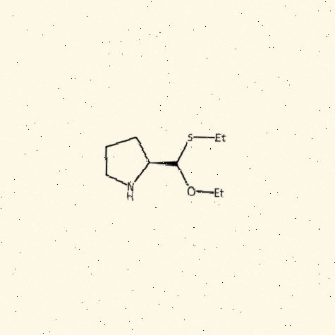 CCOC(SCC)[C@@H]1CCCN1